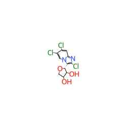 O[C@@H]1[C@@H](c2c(Cl)nc3cc(Cl)c(Cl)cn23)OC[C@@H]1O